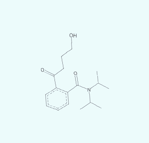 CC(C)N(C(=O)c1ccccc1C(=O)CCCO)C(C)C